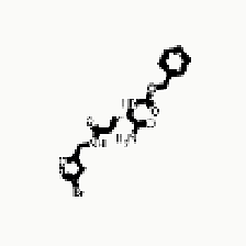 NC(=O)[C@H](CCC(=O)NCC1CC(Br)=NO1)NC(=O)OCc1ccccc1